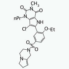 CCCn1c(=O)n(C)c(=O)c2[nH]c(-c3cc(S(=O)(=O)N4CCN5CCC=C5C4)ccc3OCC)c(Cl)c21